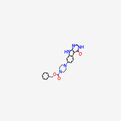 O=C(OCc1ccccc1)N1CCN(c2ccc3c(c2)[nH]c2nc[nH]c(=O)c23)CC1